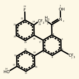 NC(=NO)c1cc(C(F)(F)F)cc(-c2ccc(O)cc2)c1-c1cccc(F)c1C(F)(F)F